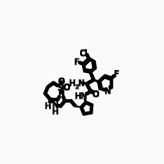 N[C@H](C(=O)N[C@H]1CCC[C@@H]1CCC1CN[C@@H]2CCCS(=O)(=O)N1C2)[C@H](c1cncc(F)c1)c1ccc(Cl)c(F)c1